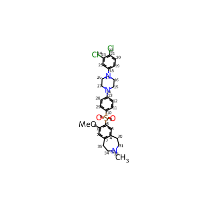 COc1cc2c(cc1S(=O)(=O)c1ccc(N3CCN(c4ccc(Cl)c(Cl)c4)CC3)cc1)CCN(C)CC2